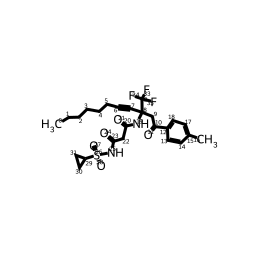 CCCCCCC#CC(CC(=O)c1ccc(C)cc1)(NC(=O)CC(=O)NS(=O)(=O)C1CC1)C(F)(F)F